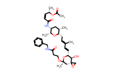 CC(=O)O[C@@H](C)/C=C\C(=O)N[C@@H]1C[C@H](C)[C@H](C/C=C(C)/C=C/[C@H]2O[C@](C)(OCCC(=O)NCc3ccccc3)C[C@@]3(CO3)[C@@H]2O)O[C@@H]1C